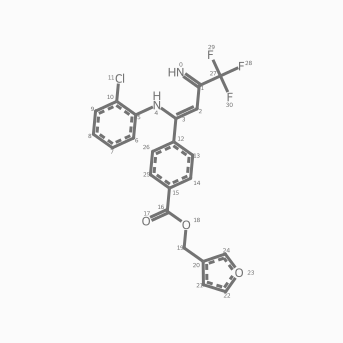 N=C(/C=C(\Nc1ccccc1Cl)c1ccc(C(=O)OCc2ccoc2)cc1)C(F)(F)F